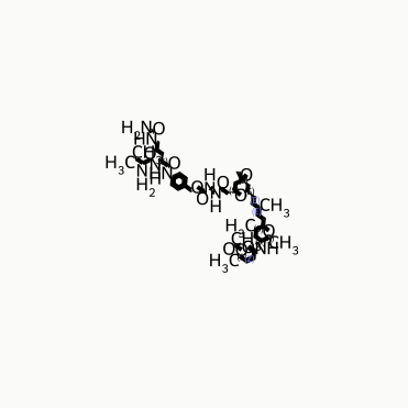 CC(=O)O[C@@H](C)/C=C\C(=O)N[C@@H]1C[C@H](C)C(C/C=C(C)/C=C/[C@@H]2C[C@]3(CO3)C[C@@H](CC(=O)NNC(=O)OCc3ccc(NC(=O)[C@H](CCCNC(N)=O)NC(=O)C(N)C(C)C)cc3)O2)O[C@@H]1C